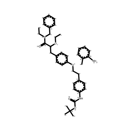 CCOC(Cc1ccc(OCCc2ccc(NC(=O)OC(C)(C)C)cc2)cc1)C(=O)N(CC)Cc1ccccc1.Cc1ccccc1N